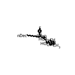 C#C[C@@]1(c2ccc3c(C)ncnn23)O[C@H](COP(=O)(O)OC[C@@H](COCCCCCCCCCCCCCCCCCC)OCc2ccc(F)cc2)[C@@H](O)[C@H]1O